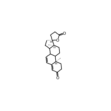 C[C@]12CCC(=O)C=C1C=CC1C2CC[C@@]2(C)C1CC[C@@]21CCC(=O)O1